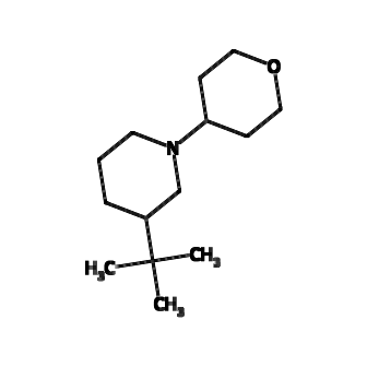 CC(C)(C)C1CCCN(C2CCOCC2)C1